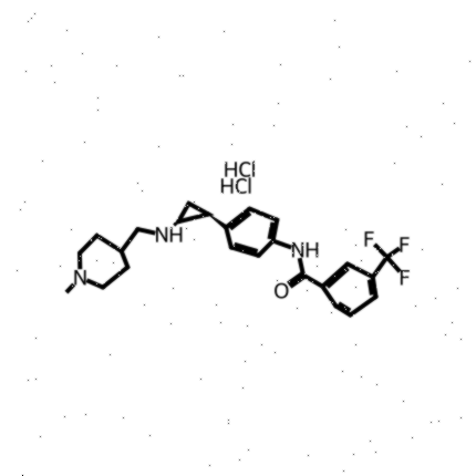 CN1CCC(CN[C@@H]2C[C@H]2c2ccc(NC(=O)c3cccc(C(F)(F)F)c3)cc2)CC1.Cl.Cl